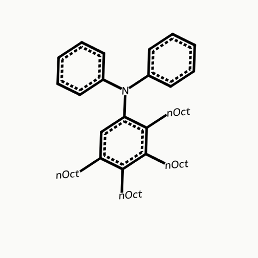 CCCCCCCCc1cc(N(c2ccccc2)c2ccccc2)c(CCCCCCCC)c(CCCCCCCC)c1CCCCCCCC